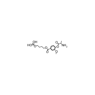 COc1cc(C(=O)OCCCCON(O)O)ccc1OC(=O)C(C)N